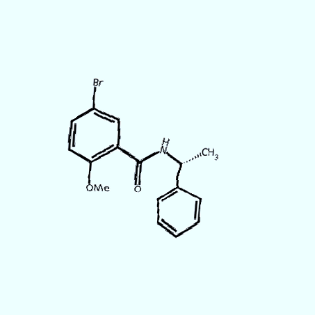 COc1ccc(Br)cc1C(=O)N[C@H](C)c1ccccc1